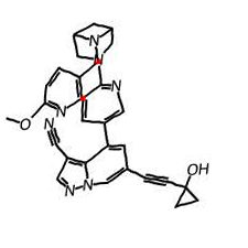 COc1ccc(CN2C3CC2CN(c2ccc(-c4cc(C#CC5(O)CC5)cn5ncc(C#N)c45)cn2)C3)cn1